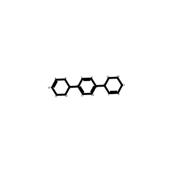 C1=CC(c2ccc(C3CC=CCC3)cc2)CCC1